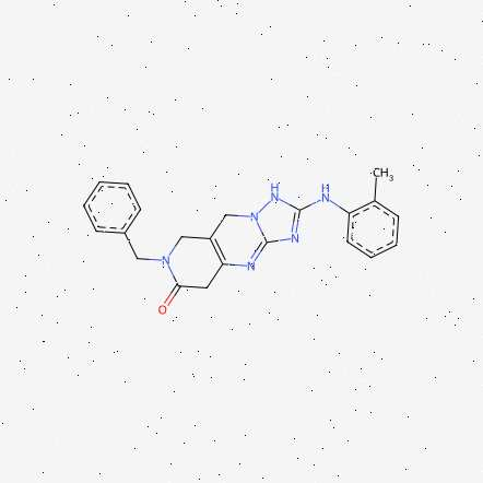 Cc1ccccc1NC1=NC2=NC3=C(CN(Cc4ccccc4)C(=O)C3)CN2N1